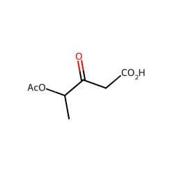 CC(=O)OC(C)C(=O)CC(=O)O